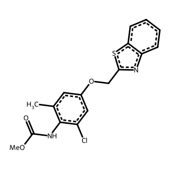 COC(=O)Nc1c(C)cc(OCc2nc3ccccc3s2)cc1Cl